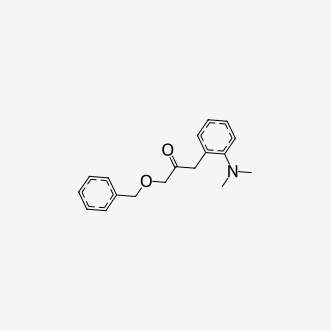 CN(C)c1ccccc1CC(=O)COCc1ccccc1